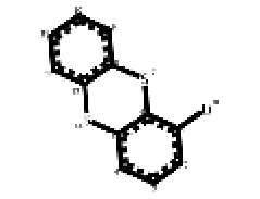 [Li][c]1cccc2c1Sc1ccccc1S2